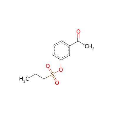 CCCS(=O)(=O)Oc1cccc(C(C)=O)c1